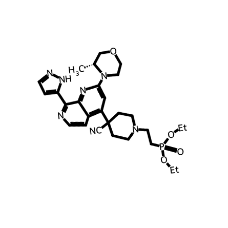 CCOP(=O)(CCN1CCC(C#N)(c2cc(N3CCOC[C@H]3C)nc3c(-c4ccn[nH]4)nccc23)CC1)OCC